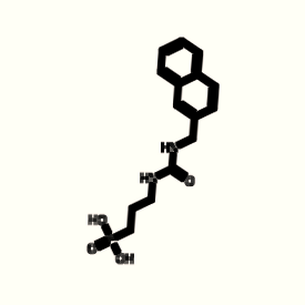 O=C(NCCCP(=O)(O)O)NCc1ccc2ccccc2c1